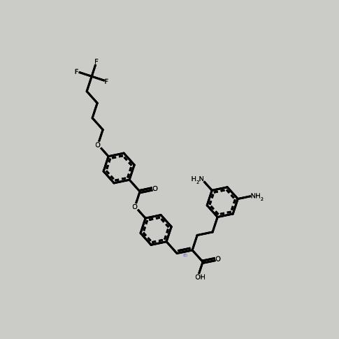 Nc1cc(N)cc(CC/C(=C\c2ccc(OC(=O)c3ccc(OCCCCC(F)(F)F)cc3)cc2)C(=O)O)c1